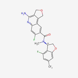 CN(C(=O)c1cc2c3c(c(N)nc2cc1F)COC3)[C@H]1COc2cc(C(F)(F)F)cc(F)c21